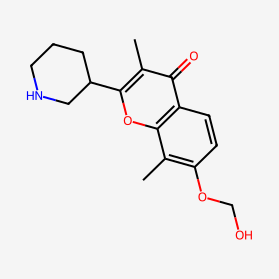 Cc1c(C2CCCNC2)oc2c(C)c(OCO)ccc2c1=O